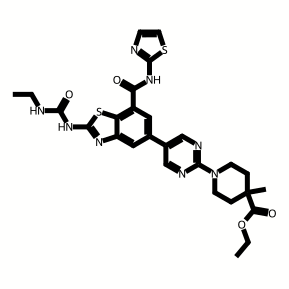 CCNC(=O)Nc1nc2cc(-c3cnc(N4CCC(C)(C(=O)OCC)CC4)nc3)cc(C(=O)Nc3nccs3)c2s1